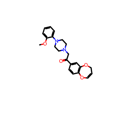 COc1ccccc1N1CCN(CC(=O)c2ccc3c(c2)OCC=CO3)CC1